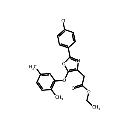 CCOC(=O)Cc1nc(-c2ccc(Cl)cc2)oc1Oc1cc(C)ccc1C